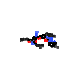 COC(=O)C[C@@H](NC(=O)CCC(=O)O)c1ccc(NC(=O)Cc2ccc(NC(=O)Nc3ccccc3C)c(OC)c2)cc1